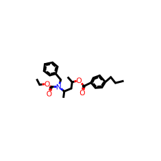 CCCc1ccc(C(=O)OC(C)CC(C)N(Cc2ccccc2)C(=O)OCC)cc1